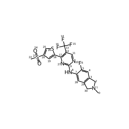 CN1Cc2cc(F)c(Nc3ncc(C(F)(F)F)c(-c4cc(S(C)(=O)=O)cs4)n3)cc2C1